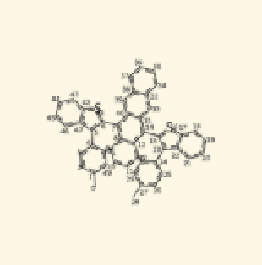 Cc1ccc(-c2c(-c3c4ccccc4c(-c4sc5ccccc5c4-c4ccc(C)cc4)c4cc5ccccc5cc34)sc3ccccc23)cc1